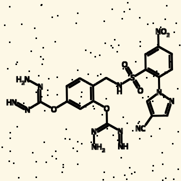 N#Cc1cnn(-c2ccc([N+](=O)[O-])cc2S(=O)(=O)NCc2ccc(OC(N=N)=NN)cc2OC(N=N)=NN)c1